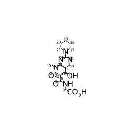 Cn1c(=O)c(C(=O)NCC(=O)O)c(O)c2cnc(N3CCCCC3)nc21